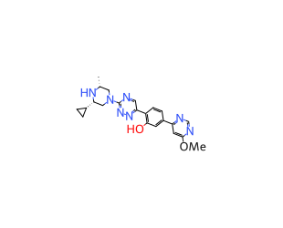 COc1cc(-c2ccc(-c3cnc(N4C[C@@H](C)N[C@@H](C5CC5)C4)nn3)c(O)c2)ncn1